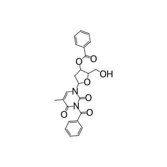 Cc1cn(C2CC(OC(=O)c3ccccc3)C(CO)O2)c(=O)n(C(=O)c2ccccc2)c1=O